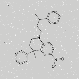 CC(CCN1CCC(C)(c2ccccc2)c2cc([N+](=O)[O-])ccc21)c1ccccc1